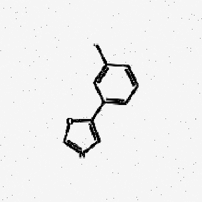 [CH2]c1cccc(-c2cnco2)c1